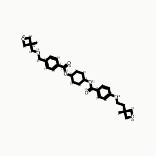 CC1(CCOc2ccc(C(=O)OC3CCC(OC(=O)c4ccc(COCC5(C)COC5)cc4)CC3)cc2)COC1